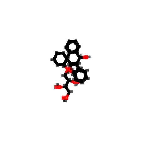 O=C1c2ccccc2C2(CCCCC2OC[C@@H](O)[C@H](O)CO)c2oc3ccccc3c21